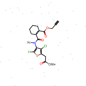 C#CCOC(=O)C1=C(C(=O)N(C(C)=O)c2c(F)sc(CC(=O)OC)c2Cl)CCCC1